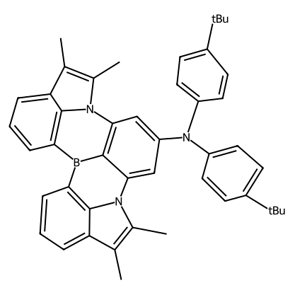 Cc1c(C)n2c3c(cccc13)B1c3c-2cc(N(c2ccc(C(C)(C)C)cc2)c2ccc(C(C)(C)C)cc2)cc3-n2c(C)c(C)c3cccc1c32